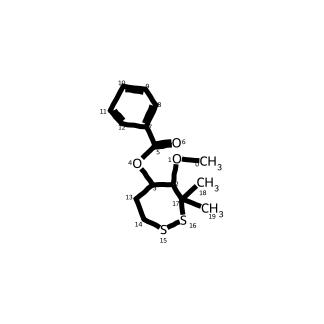 COC1C(OC(=O)c2ccccc2)CCSSC1(C)C